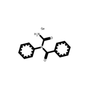 NC(=O)N(C(=O)c1ccccc1)c1ccccc1.[Se]